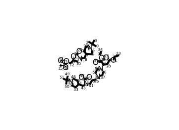 CC(C)(C)N1CCC(CN2CC(COS(C)(=O)=O)OC2=O)CC1.CCOC(=O)CC(C(=O)OCC)N1CCN(CC2CN(CC3CCN(C(C)(C)C)CC3)C(=O)O2)CC1